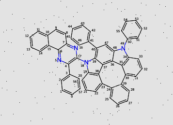 c1ccc(-c2nc3c(ccc4ccccc43)nc2-n2c3cccc4c5ccccc5c5cccc6c5c5c(c43)c2c(-c2ccccc2)cc5n6-c2ccccc2)cc1